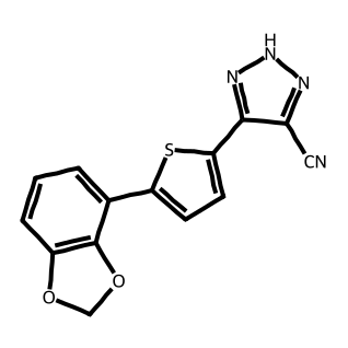 N#Cc1n[nH]nc1-c1ccc(-c2cccc3c2OCO3)s1